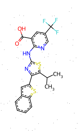 CC(C)c1sc(Nc2ncc(C(F)(F)F)cc2C(=O)O)nc1-c1cc2ccccc2s1